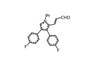 CC(C)n1cc(-c2ccc(F)cc2)c(-c2ccc(F)cc2)c1/C=C/C=O